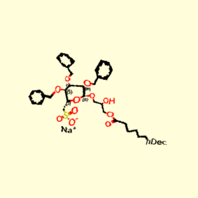 CCCCCCCCCCCCCCCC(=O)OCC(O)CO[C@H]1O[C@H](CS(=O)(=O)[O-])[C@@H](OCc2ccccc2)[C@H](OCc2ccccc2)[C@H]1OCc1ccccc1.[Na+]